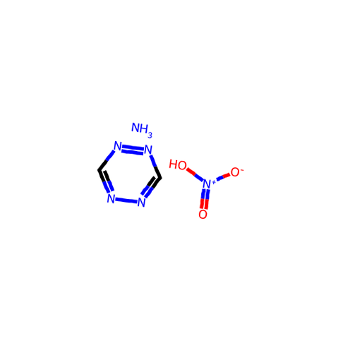 N.O=[N+]([O-])O.c1nncnn1